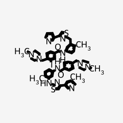 Cc1ccc(NC(=O)c2ccc(CN3CCN(C)CC3)c(I)c2)cc1Cc1nc(-c2cccnc2)cs1.Cc1cncc(-c2csc(Nc3cc(NC(=O)c4ccc(CN5CCN(C)CC5)cc4)ccc3C)n2)c1